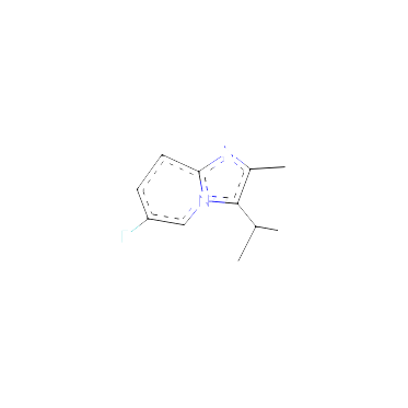 Cc1nc2ccc(F)cn2c1C(C)C